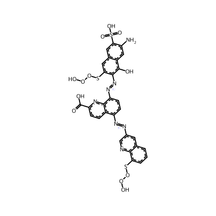 Nc1cc2c(O)c(/N=N/c3ccc(/N=N/c4cnc5c(SOOO)cccc5c4)c4ccc(C(=O)O)nc34)c(SOOO)cc2cc1S(=O)(=O)O